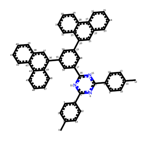 Cc1ccc(-c2nc(-c3ccc(C)cc3)nc(-c3cc(-c4cc5ccccc5c5ccccc45)cc(-c4cc5ccccc5c5ccccc45)c3)n2)cc1